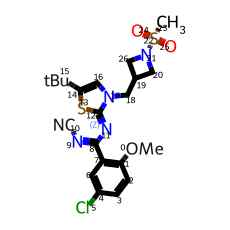 COc1ccc(Cl)cc1C(=NC#N)/N=c1\sc(C(C)(C)C)cn1CC1CN(S(C)(=O)=O)C1